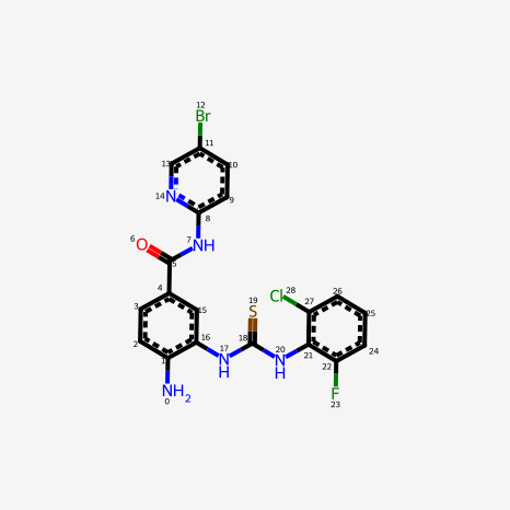 Nc1ccc(C(=O)Nc2ccc(Br)cn2)cc1NC(=S)Nc1c(F)cccc1Cl